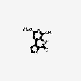 COc1cc2c([nH]c(=O)c3sccc32)c(C)n1